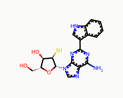 Nc1nc(-c2c[nH]c3ccccc23)nc2c1ncn2[C@@H]1O[C@H](CO)[C@@H](O)[C@H]1S